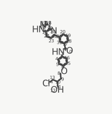 O=C(Nc1ccc(OCCC(CO)CCl)cc1)c1cccc(-c2ccc3[nH]nnc3n2)c1